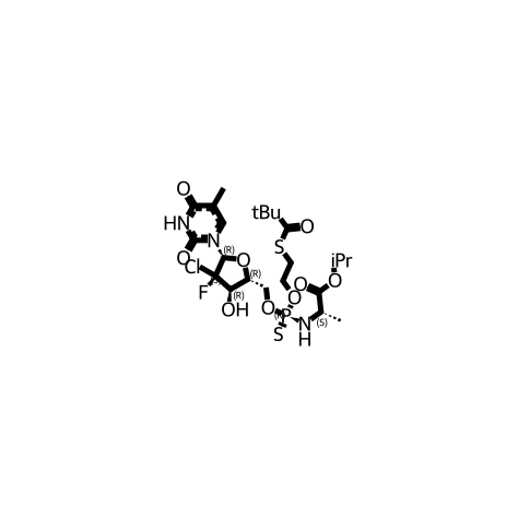 Cc1cn([C@@H]2O[C@H](CO[P@](=S)(N[C@@H](C)C(=O)OC(C)C)OCCSC(=O)C(C)(C)C)[C@@H](O)[C@]2(F)Cl)c(=O)[nH]c1=O